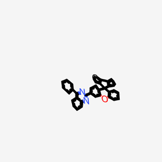 c1ccc(-c2nc(-c3ccc4c(c3)Oc3ccccc3C43c4ccccc4-c4ccccc43)nc3ccccc23)cc1